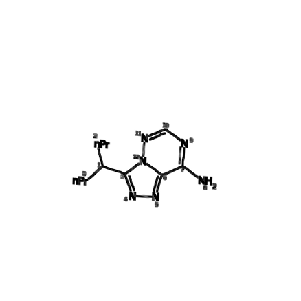 CCCC(CCC)c1nnc2c(N)ncnn12